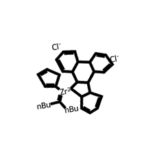 CCCC[C](CCCC)=[Zr+2]([C]1=CC=CC1)[CH]1C2C=CC=CC2C2C3C=CC=CC3C3C=CC=CC3C21.[Cl-].[Cl-]